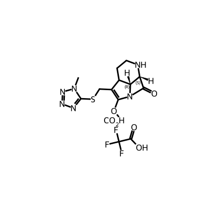 Cn1nnnc1SCC1=C(OC(=O)O)N2C(=O)[C@H]3NCCC1[C@H]32.O=C(O)C(F)(F)F